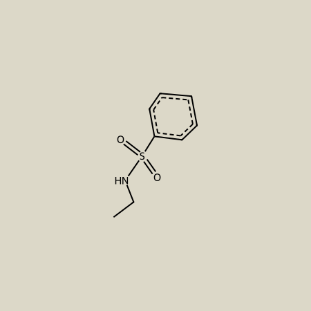 CCNS(=O)(=O)c1ccccc1